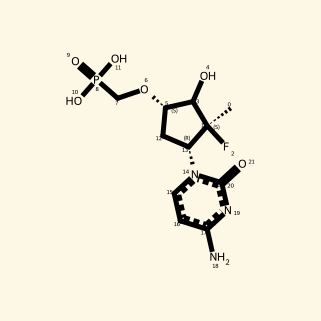 C[C@@]1(F)C(O)[C@@H](OCP(=O)(O)O)C[C@H]1n1ccc(N)nc1=O